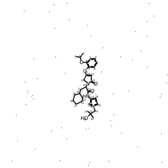 CC(C)Oc1ccccc1OC1=CC(=O)N(C(CC2CCCCC2)C(=O)Nc2ccn(CC(C)(C)O)n2)C1